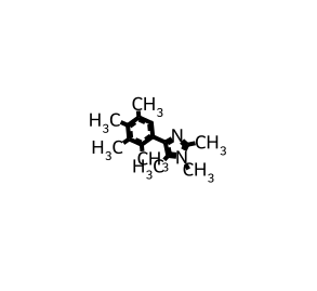 Cc1cc(-c2nc(C)n(C)c2C)c(C)c(C)c1C